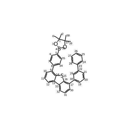 CC1(C)OB(c2ccc(-c3cccc4c3sc3c(-c5cccc(-c6ccccc6)c5)cccc34)cc2)OC1(C)C